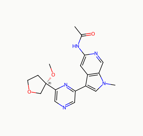 CO[C@@]1(c2cncc(-c3cn(C)c4cnc(NC(C)=O)cc34)n2)CCOC1